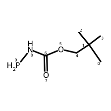 CC(C)(C)COC(=O)NP